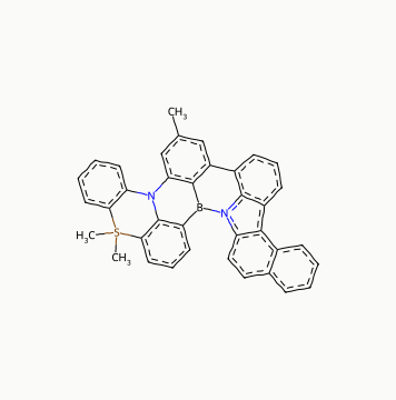 Cc1cc2c3c(c1)N1c4ccccc4S(C)(C)c4cccc(c41)B3n1c3ccc4ccccc4c3c3cccc-2c31